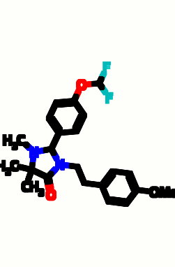 COc1ccc(CCN2C(=O)C(C)(C)N(C)C2c2ccc(OC(F)F)cc2)cc1